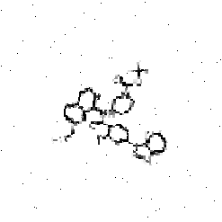 CC(C)(C)OC(=O)N1CCC[C@@H](N(C(=O)c2ccc(-n3nnc4cccnc43)cc2F)c2nccc3ccc(CO)cc23)C1